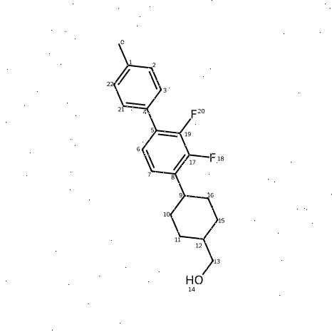 Cc1ccc(-c2ccc(C3CCC(CO)CC3)c(F)c2F)cc1